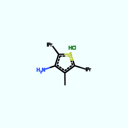 Cc1c(C(C)C)sc(C(C)C)c1N.Cl